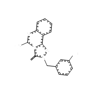 Cc1cccc(Cn2nc3c4ccccc4nc(N)n3c2=O)c1